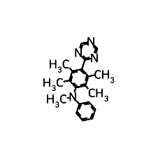 Cc1c(C)c(N(C)c2ccccc2)c(C)c(C)c1-c1ncncn1